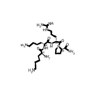 N=C(N)NCCC[C@@H](NC(=O)[C@@H](CCCCN)NC(=O)[C@@H](N)CCCCN)C(=O)N1CCC[C@@H]1C(N)=O